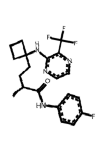 CC(CCC1(Nc2nccnc2C(F)(F)F)CCC1)C(=O)Nc1ccc(F)cc1